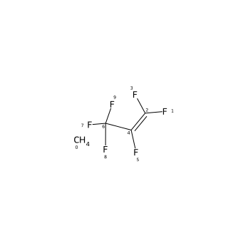 C.FC(F)=C(F)C(F)(F)F